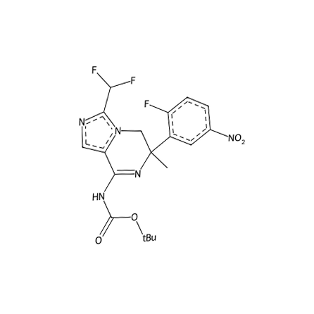 CC(C)(C)OC(=O)NC1=NC(C)(c2cc([N+](=O)[O-])ccc2F)Cn2c1cnc2C(F)F